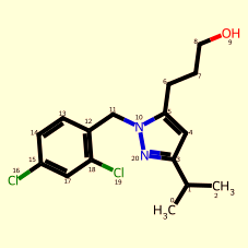 CC(C)c1cc(CCCO)n(Cc2ccc(Cl)cc2Cl)n1